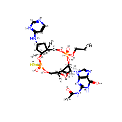 CC(C)C(=O)Nc1nc2c(ncn2[C@@H]2O[C@@H]3COP(=O)(S)O[C@H]4C[C@H](Nc5ccncn5)C[C@@H]4COP(=O)(OCCC#N)O[C@@H]2[C@@H]3C)c(=O)[nH]1